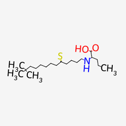 CCCC(NCCCCC(=S)CCCCCCC(C)(C)C)C(=O)O